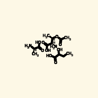 CC(=O)O[C@H](C)[C@H](N)C(=O)O.CCC(O)C(=O)O.C[C@H](N)C(=O)O